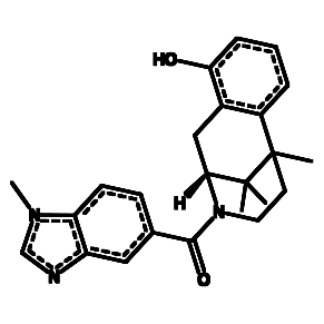 Cn1cnc2cc(C(=O)N3CCC4(C)c5cccc(O)c5C[C@@H]3C4(C)C)ccc21